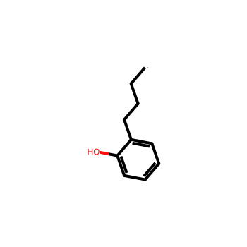 [CH2]CCCc1ccccc1O